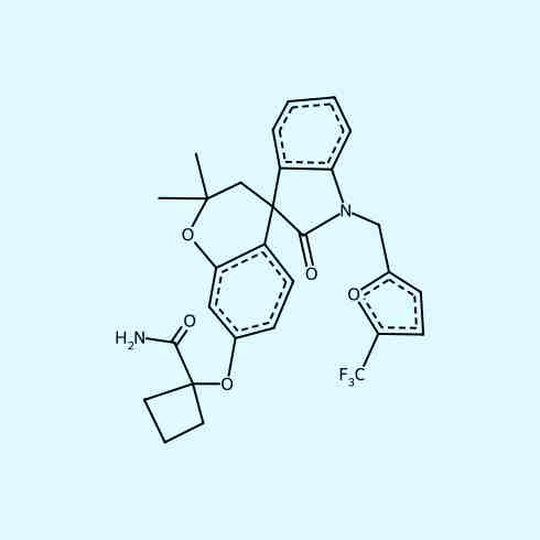 CC1(C)CC2(C(=O)N(Cc3ccc(C(F)(F)F)o3)c3ccccc32)c2ccc(OC3(C(N)=O)CCC3)cc2O1